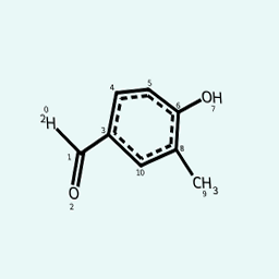 [2H]C(=O)c1ccc(O)c(C)c1